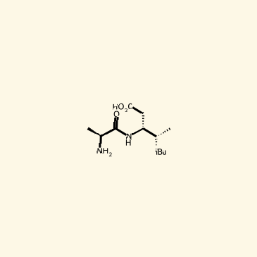 CC[C@@H](C)[C@@H](C)[C@@H](CC(=O)O)NC(=O)[C@H](C)N